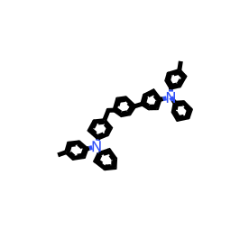 Cc1ccc(N(c2ccccc2)c2ccc(Cc3ccc(-c4ccc(N(c5ccccc5)c5ccc(C)cc5)cc4)cc3)cc2)cc1